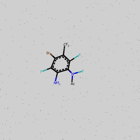 CC(=O)N(F)c1c(N)c(F)c(Br)c(C(F)(F)F)c1F